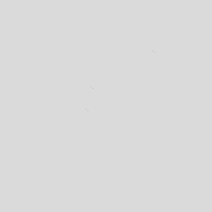 CCS(=O)(=O)c1cc(C#N)ccc1C1NC(=O)N(c2cccc(CF)c2)C2=C1C(=O)CC2